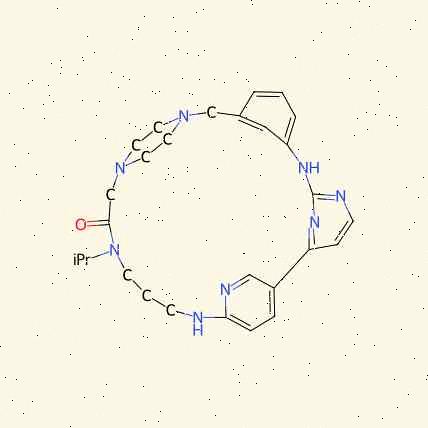 CC(C)N1CCCNc2ccc(cn2)-c2ccnc(n2)Nc2cccc(c2)CN2CCN(CC2)CC1=O